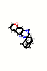 C1=COC2=CC3=C(CC2=C1)NC1(C=N3)C2CC3CC(C2)CC1C3